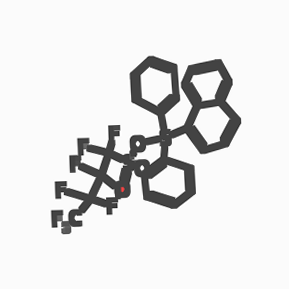 O=S(=O)(OS(c1ccccc1)(c1ccccc1)c1cccc2ccccc12)C(F)(F)C(F)(F)C(F)(F)C(F)(F)F